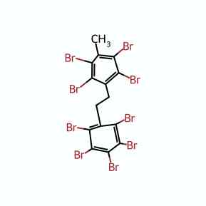 Cc1c(Br)c(Br)c(CCc2c(Br)c(Br)c(Br)c(Br)c2Br)c(Br)c1Br